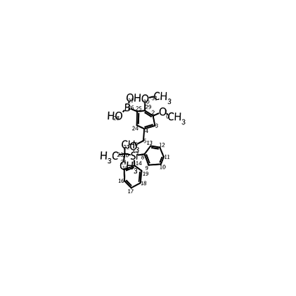 COc1cc(CO[Si](c2ccccc2)(c2ccccc2)C(C)(C)C)cc(B(O)O)c1OC